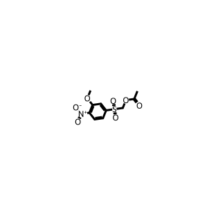 COc1cc(S(=O)(=O)COC(C)=O)ccc1[N+](=O)[O-]